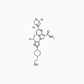 NC(=O)C1=C2N=C(N3C[C@H]4C[C@@H]3CO4)C=CN2N(c2cn(C3CCC(CCO)CC3)nc2C(F)F)C1